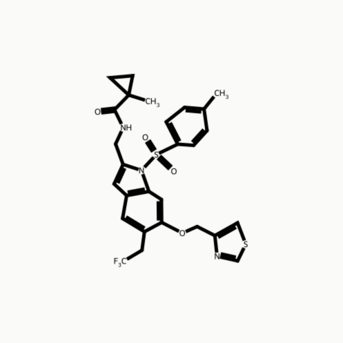 Cc1ccc(S(=O)(=O)n2c(CNC(=O)C3(C)CC3)cc3cc(CC(F)(F)F)c(OCc4cscn4)cc32)cc1